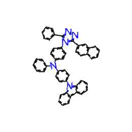 c1ccc(-c2nnc(-c3ccc4ccccc4c3)n2-c2ccc(N(c3ccccc3)c3ccc(-n4c5ccccc5c5ccccc54)cc3)cc2)cc1